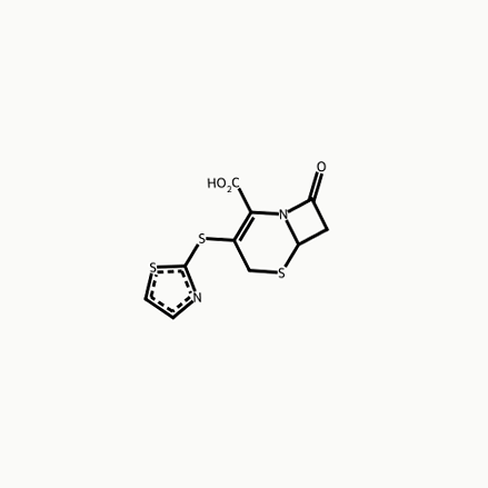 O=C(O)C1=C(Sc2nccs2)CSC2CC(=O)N12